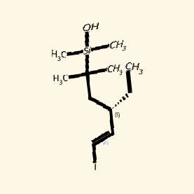 CC[C@H](/C=C/I)CC(C)(C)[Si](C)(C)O